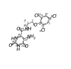 C[C@H](COc1c(Cl)cc(Cl)cc1Cl)NC(=O)c1[nH]c(=O)[nH]c(=O)c1N